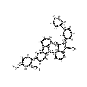 O=C1c2cccc(-n3c4ccccc4c4cc(-c5ccc(C(F)(F)F)cc5C(F)(F)F)ccc43)c2C(=O)N1c1cccc(-c2ccccc2)c1